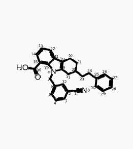 N#Cc1cccc(Cn2c3c(c4cccc(C(=O)O)c42)CCC(CCc2ccccc2)C3)c1